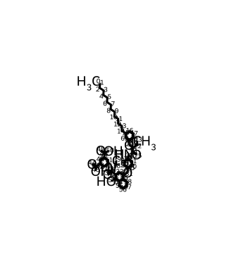 CCCCCCCCCCCCCCCc1cccc(OC(CC)C(=O)Nc2ccc(Oc3cc(C(=O)N(CC)c4cc(C(=O)O)cc(C(=O)O)c4)c(O)c4ccccc34)cc2)c1